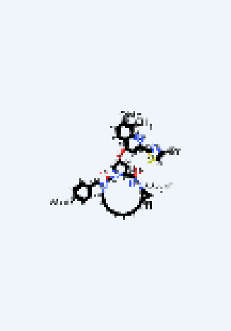 CCOC(=O)[C@@]12C[C@H]1CCCCCCCN(Cc1ccc(OC)cc1)C(=O)N1C[C@H](Oc3cc(-c4nc(C(C)C)cs4)nc4c(C)c(OC)ccc34)C[C@H]1C(=O)N2